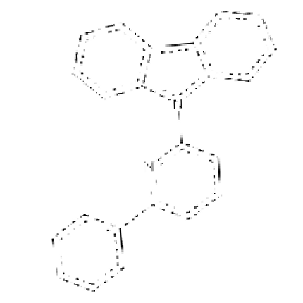 c1ccc(-c2cccc(-n3c4ccccc4c4ccccc43)n2)cc1